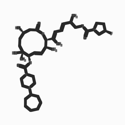 C/C(=C\C=C\C(C)COC(=O)N1CC[C@@H](F)C1)[C@H]1OC(=O)C[C@@H](O)CC[C@](C)(O)[C@@H](OC(=O)N2CCN(C3CCCCCC3)CC2)/C=C/[C@@H]1C